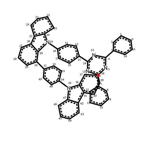 c1ccc(-c2nc(-c3ccccc3)nc(-c3ccc(-n4c5ccccc5c5cccc(-c6ccc(-n7c8ccccc8c8ccccc87)cc6)c54)cc3)n2)cc1